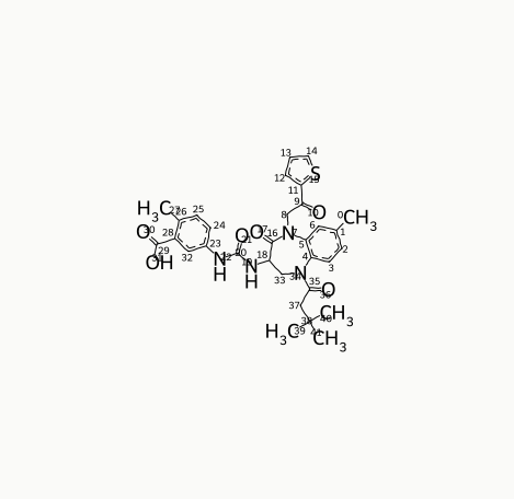 Cc1ccc2c(c1)N(CC(=O)c1cccs1)C(=O)C(NC(=O)Nc1ccc(C)c(C(=O)O)c1)CN2C(=O)CC(C)(C)C